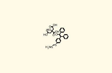 NSCSc1ccc(C(=C(Cl)c2ccccc2)c2ccccc2)cc1.O=C(O)CC(O)(CC(=O)O)C(=O)O